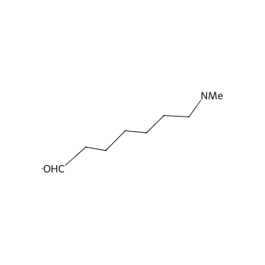 CNCCCCCC[C]=O